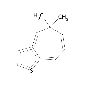 CC1(C)C=CC=c2sccc2=C1